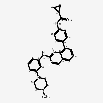 CN1CCN(c2cccc(Nc3ncc4cccc(-c5ccc(NC(=O)C6CC6)cc5)c4n3)c2)CC1